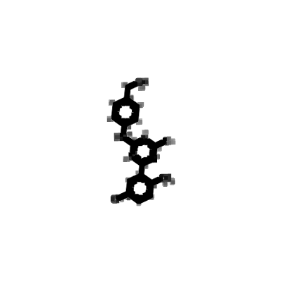 Cc1ccc(Cl)cc1-c1nc(Cl)nc(Nc2ccc(CO)cc2)n1